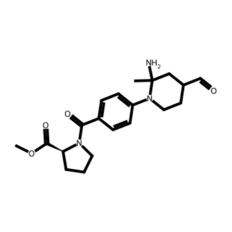 COC(=O)[C@@H]1CCCN1C(=O)c1ccc(N2CCC(C=O)CC2(C)N)cc1